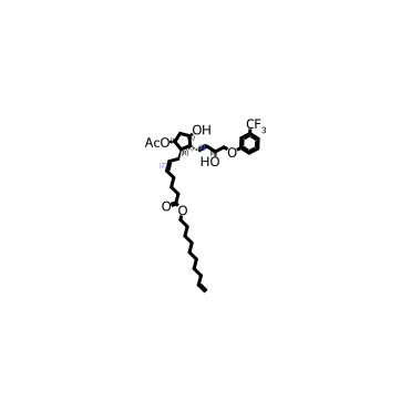 C=CCCCCCCCCOC(=O)CCC/C=C\C[C@@H]1[C@@H](/C=C/[C@@H](O)COc2cccc(C(F)(F)F)c2)[C@H](O)C[C@@H]1OC(C)=O